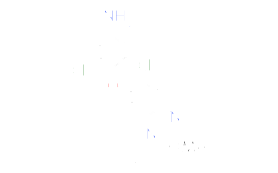 COc1nc2ccc(Oc3c(Cl)cc(N)cc3Cl)cc2n1C1CC1